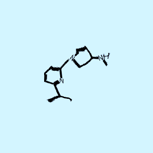 CNC1CCN(c2cccc(C(C)C)n2)C1